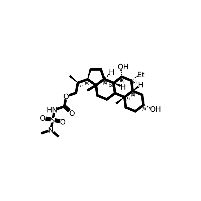 CC[C@H]1[C@@H](O)[C@@H]2C(CCC3(C)[C@@H]([C@H](C)COC(=O)NS(=O)(=O)N(C)C)CC[C@@H]23)[C@@]2(C)CC[C@@H](O)C[C@@H]12